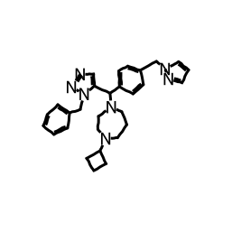 c1ccc(Cn2nncc2C(c2ccc(Cn3cccn3)cc2)N2CCCN(C3CCC3)CC2)cc1